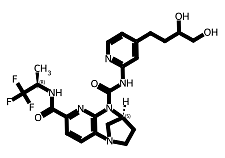 C[C@@H](NC(=O)c1ccc2c(n1)N(C(=O)Nc1cc(CCC(O)CO)ccn1)[C@H]1CCN2C1)C(F)(F)F